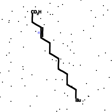 CCC(C)CCCCCCC/C=C/CC(=O)O